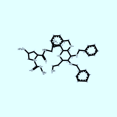 CCCCCC1CC(C(=O)NCC(C)CC2OC(CCO)C(OCc3ccccc3)C(OCc3ccccc3)C2OCc2ccccc2)N(C(=O)OC(C)(C)C)C1